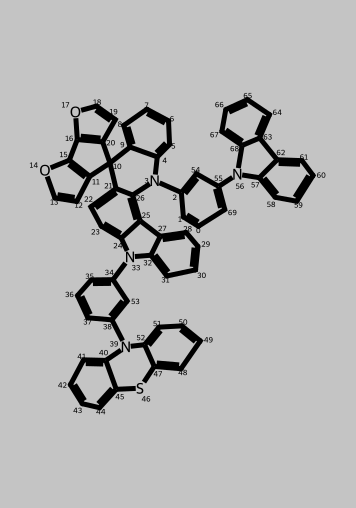 c1cc(N2c3ccccc3C3(c4ccoc4-c4occc43)c3ccc4c(c32)c2ccccc2n4-c2cccc(N3c4ccccc4Sc4ccccc43)c2)cc(-n2c3ccccc3c3ccccc32)c1